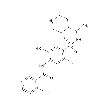 Cc1cc(S(=O)(=O)NC(C)C2CCNCC2)c(Cl)cc1NC(=O)c1ccccc1C